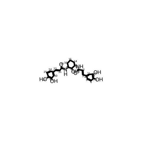 O=C(C=Cc1ccc(O)c(O)c1)N[C@H]1CCC[C@H](NC(=O)C=Cc2ccc(O)c(O)c2)C1O